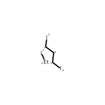 CCI.ICCCI